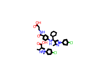 CC1=N[N+](C)(c2ccc(Cl)cc2)C=C1C(=O)O.Cc1nn(-c2ccc(Cl)cc2)cc1C(Nc1ccc(C(=O)NCCC(=O)O)cc1)C1CCCCC1